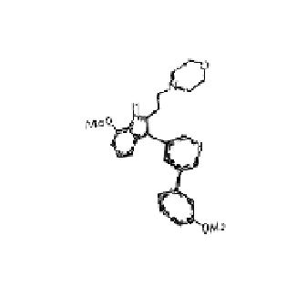 COc1cccc(-c2cncc(-c3c(CCN4CCOCC4)[nH]c4c(OC)cccc34)c2)c1